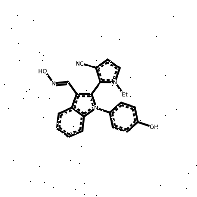 CCn1ccc(C#N)c1-c1c(C=NO)c2ccccc2n1-c1ccc(O)cc1